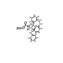 COC(=O)NCC1(COCc2ccccc2)c2ccccc2CCc2ccccc21